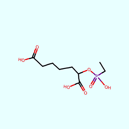 CCP(=O)(O)OC(CCCCC(=O)O)C(=O)O